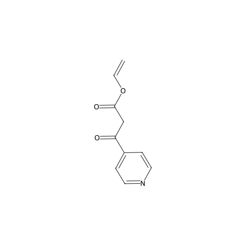 C=COC(=O)CC(=O)c1ccncc1